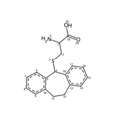 NC(CSC1c2ccccc2CCc2ccccc21)C(=O)O